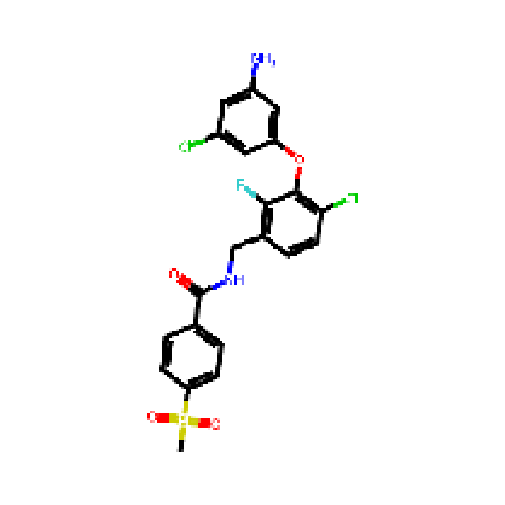 CS(=O)(=O)c1ccc(C(=O)NCc2ccc(Cl)c(Oc3cc(N)cc(Cl)c3)c2F)cc1